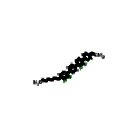 C=CC1CCC(c2ccc(-c3ccc(-c4ccc(CCCCCCC)c(F)c4F)cc3)c(F)c2F)CC1